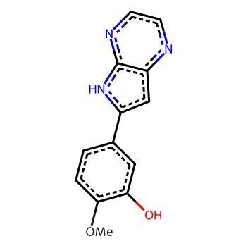 COc1ccc(-c2cc3nccnc3[nH]2)cc1O